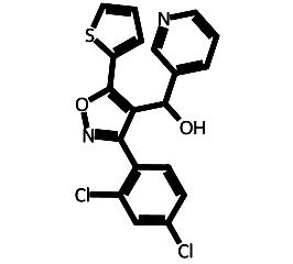 OC(c1cccnc1)c1c(-c2ccc(Cl)cc2Cl)noc1-c1cccs1